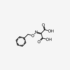 O=C(O)C(=NOCc1ccccc1)C(=O)O